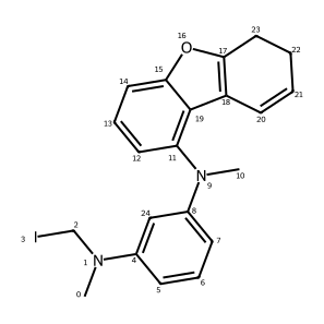 CN(CI)c1cccc(N(C)c2cccc3oc4c(c23)C=CCC4)c1